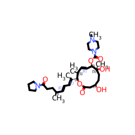 C/C(=C\C=C\[C@@H](C)CCC(=O)N1CCCC1)[C@H]1OC(=O)C[C@@H](O)CC[C@](C)(O)[C@H](OC(=O)N2CCN(C)CC2)/C=C/[C@@H]1C